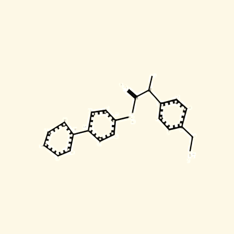 CC(C)Cc1ccc(C(C)C(=O)Oc2ccc(-c3cc[c]cc3)cc2)cc1